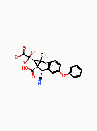 CC1(C)[C@@H](C(Br)(Br)C(Br)Br)[C@]1(C(=O)O)[C@@H](C#N)c1cccc(Oc2ccccc2)c1